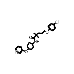 CC(C)(CCCOc1ccc(Cl)cc1)C(=O)NC1CCC(Oc2cccnc2)CC1